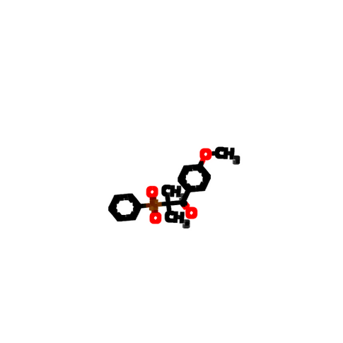 COc1ccc(C(=O)C(C)(C)S(=O)(=O)c2ccccc2)cc1